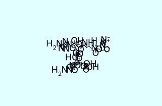 [N-]=[N+]=Nc1ccccc1COC(=O)NCCC[C@@H](N)C(=O)OC1C(COP(=O)(O)O[C@H]2C[C@H](n3ccc(N)nc3=O)O[C@@H]2COP(=O)(O)O)OC(n2cnc3c(N)ncnc32)C1O